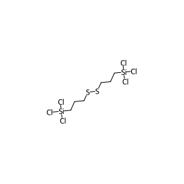 Cl[Si](Cl)(Cl)CCCSSCCC[Si](Cl)(Cl)Cl